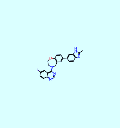 Cc1nc2ccc(-c3ccc4c(c3)CN(c3ncnc5ccc(I)cc35)CCO4)cc2[nH]1